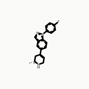 C[C@@H]1CC(c2ccc3c(cnn3-c3ccc(F)cc3)c2)=CCN1